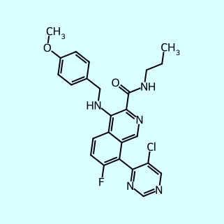 CCCNC(=O)c1ncc2c(-c3ncncc3Cl)c(F)ccc2c1NCc1ccc(OC)cc1